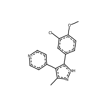 COc1ccc(-c2[nH]nc(C)c2-c2ccncc2)cc1Cl